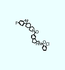 CN(C)C1(c2ccc(F)cc2)CCC2(CCN(C(=O)c3ccc4c(c3)C(CNC(=O)c3ccccc3Cl)CC4)CC2)CC1